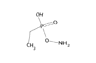 CCP(=O)(O)ON